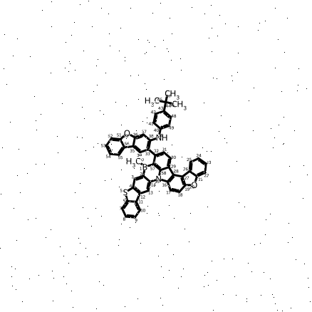 CB1c2cc3sc4ccccc4c3cc2-n2c3ccc4oc5ccccc5c4c3c3ccc(-c4cc5c(cc4Nc4ccc(C(C)(C)C)cc4)oc4ccccc45)c1c32